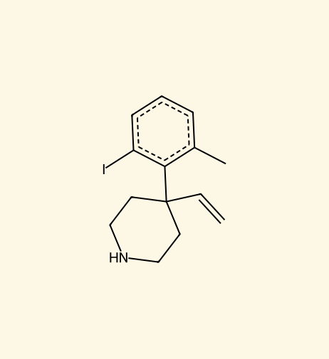 C=CC1(c2c(C)cccc2I)CCNCC1